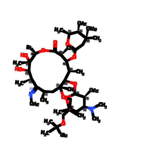 C=C(CO[C@]1(C)C[C@@H](C)/C(=N\OC(C)=O)[C@H](C)[C@@H](O)[C@](C)(O)[C@@H](CC)OC(=O)[C@H](C)[C@@H](OC2C[C@@](C)(OC)[C@@H](OC(C)=O)[C@H](C)O2)[C@H](C)[C@H]1O[C@@H]1O[C@H](C)C[C@H](N(C)C)[C@H]1OC(C)=O)CO[Si](C)(C)C(C)(C)C